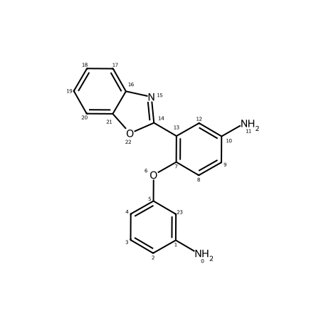 Nc1cccc(Oc2ccc(N)cc2-c2nc3ccccc3o2)c1